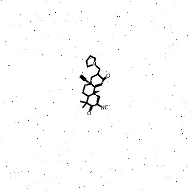 [C-]#[N+]C1=CC2(C)C3=CC(=O)C(CN4CCCC4)CC3(C#C)CCC2C(C)(C)C1=O